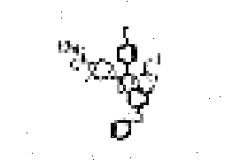 Cc1cc(Oc2ccccc2)ccc1N(C(=O)CCl)C(C(=O)N1CCN(C(=O)OC(C)(C)C)[C@H](C)C1)c1ccc(F)cc1